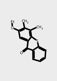 CCOc1cc2c(=O)c3ccccc3sc2c(C)c1C